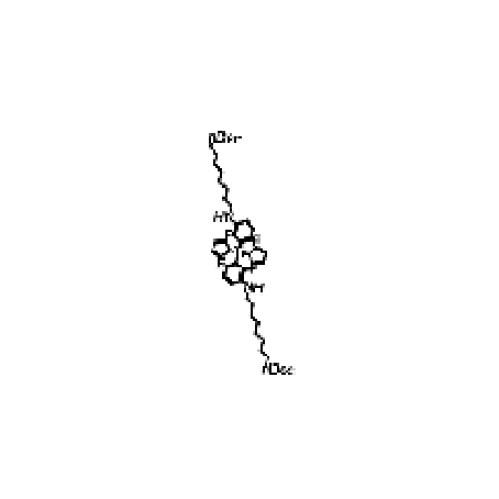 CCCCCCCCCCCCCCCCCCNc1ccc(F)[c]([Ti]([c]2c(F)ccc(NCCCCCCCCCCCCCCCCCC)c2F)([CH]2C=CC=C2)[CH]2C=CC=C2)c1F